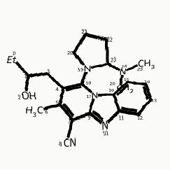 CCC(O)Cc1c(C)c(C#N)c2nc3ccccc3n2c1N1CCCC1N(C)C